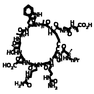 CCCN[C@@H](C)C(=O)N[C@H]1CCCC[C@@H](C(=O)NCC(=O)N[C@@H](C)C(=O)O)NC(=O)[C@H](C)NC(=O)[C@H](Cc2c[nH]c3ccccc23)NC(=O)[C@H](C)NC(=O)[C@H]([C@@H](C)O)NC(=O)[C@H](CCC(=O)O)NC(=O)[C@H](CCCNC(N)=O)NC(=O)[C@H](CCCNC(N)=O)NC1=O